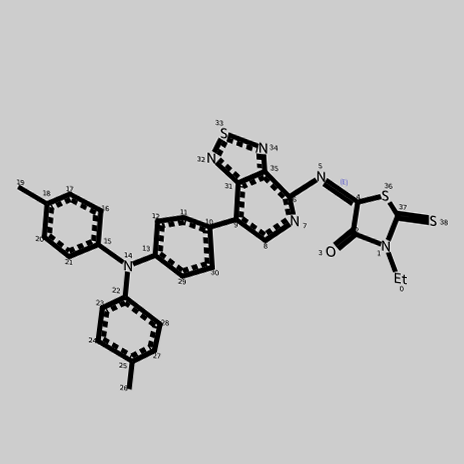 CCN1C(=O)/C(=N\c2ncc(-c3ccc(N(c4ccc(C)cc4)c4ccc(C)cc4)cc3)c3nsnc23)SC1=S